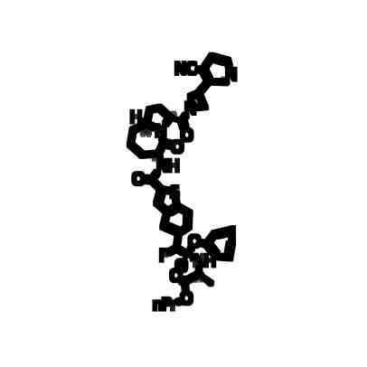 CCCOC(=O)[C@H](C)NP(=O)(Oc1ccccc1)C(F)c1ccc2sc(C(=O)N[C@H]3CCC[C@H]4CC[C@@H](C(=O)N5CC(c6cnccc6C#N)C5)N4C3=O)cc2c1